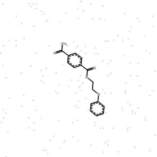 CC(=O)c1ccc(C(=O)OCCOc2ccccc2)cc1